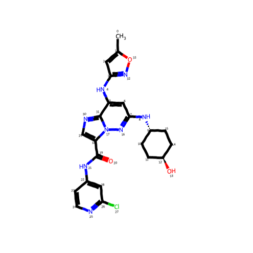 Cc1cc(Nc2cc(N[C@H]3CC[C@H](O)CC3)nn3c(C(=O)Nc4ccnc(Cl)c4)cnc23)no1